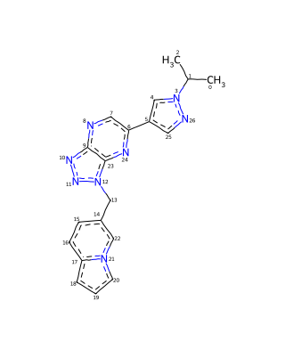 CC(C)n1cc(-c2cnc3nnn(Cc4ccc5cccn5c4)c3n2)cn1